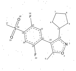 Cc1onc(C2CCCC2)c1-c1cc(F)c(S(C)(=O)=O)cc1F